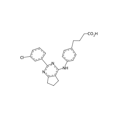 O=C(O)CCCc1ccc(Nc2nc(-c3cccc(Cl)c3)nc3c2CCC3)cc1